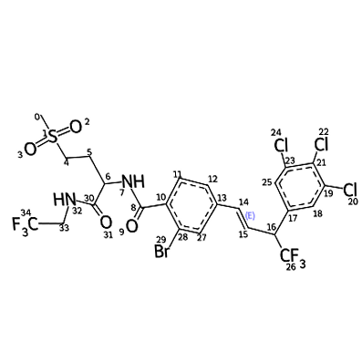 CS(=O)(=O)CCC(NC(=O)c1ccc(/C=C/C(c2cc(Cl)c(Cl)c(Cl)c2)C(F)(F)F)cc1Br)C(=O)NCC(F)(F)F